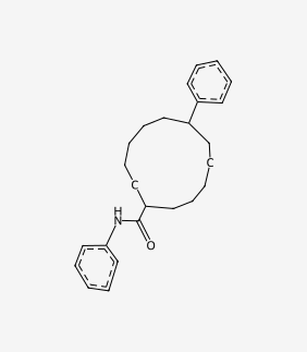 O=C(Nc1ccccc1)C1CCCCCC(c2ccccc2)CCCCC1